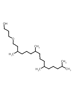 CC(C)CCCC(C)CCCC(C)CCCC(C)CCOCCCO